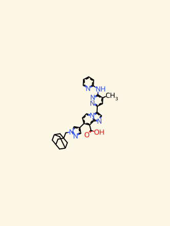 Cc1cc(-c2cnc3c(C(=O)O)c(-c4cnn(CC56CC7CC(CC(C7)C5)C6)c4)ccn23)nnc1Nc1ccccn1